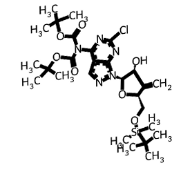 C=C1[C@@H](O)[C@H](n2ncc3c(N(C(=O)OC(C)(C)C)C(=O)OC(C)(C)C)nc(Cl)nc32)O[C@@H]1CO[Si](C)(C)C(C)(C)C